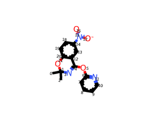 CC1(C)N=C(Oc2ccccn2)c2cc([N+](=O)[O-])ccc2O1